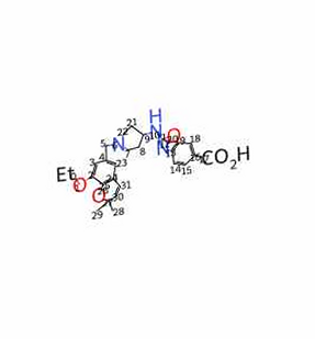 CCOc1cc(CN2CCC(Nc3nc4ccc(C(=O)O)cc4o3)CC2)cc2c1OC(C)(C)C=C2